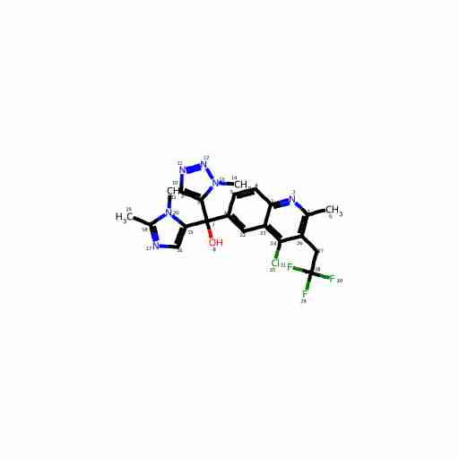 Cc1nc2ccc(C(O)(c3cnnn3C)c3cnc(C)n3C)cc2c(Cl)c1CC(F)(F)F